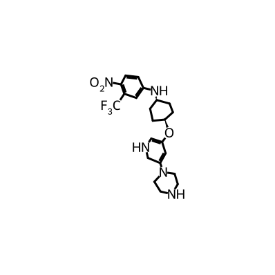 O=[N+]([O-])c1ccc(N[C@H]2CC[C@H](OC3=CNCC(N4CCNCC4)=C3)CC2)cc1C(F)(F)F